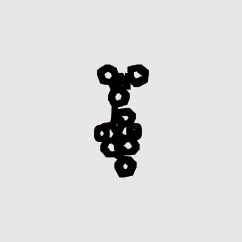 C1=CCC2OC3=C(C=CCC3)C3(C2=C1)C1C=C(C2C=Cc4c(c5c(n4C4C=CC=CC4)CCCC5)C2)C=CC1OC1CCC(c2ccccc2)CC13